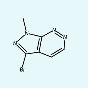 Cn1nc(Br)c2ccnnc21